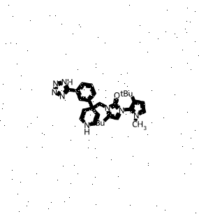 CCCCc1cn(-c2c(C(C)(C)C)ccn2C)c(=O)n1CC1(c2cccc(-c3nnn[nH]3)c2)C=CNC=C1